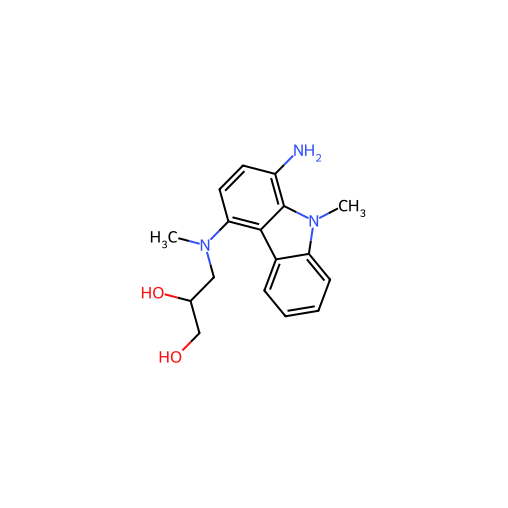 CN(CC(O)CO)c1ccc(N)c2c1c1ccccc1n2C